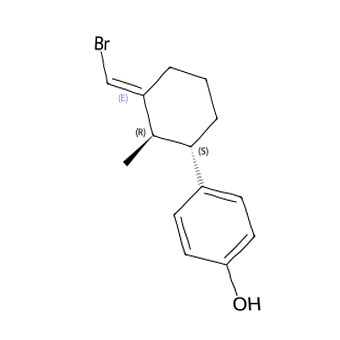 C[C@H]1/C(=C/Br)CCC[C@@H]1c1ccc(O)cc1